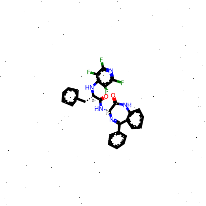 O=C(N[C@H]1N=C(c2ccccc2)c2ccccc2NC1=O)[C@H](Cc1ccccc1)Nc1c(F)c(F)nc(F)c1F